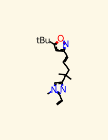 C=Cc1nc(C(C)(C)C/C=C/c2cc(C(C)(C)C)on2)cn1C